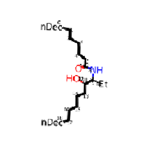 CCCCCCCCCCCCCCCC(=O)N[C@@H](CC)[C@H](O)CCCCCCCCCCCCCCC